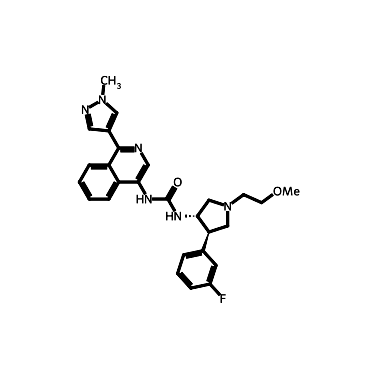 COCCN1C[C@@H](NC(=O)Nc2cnc(-c3cnn(C)c3)c3ccccc23)[C@H](c2cccc(F)c2)C1